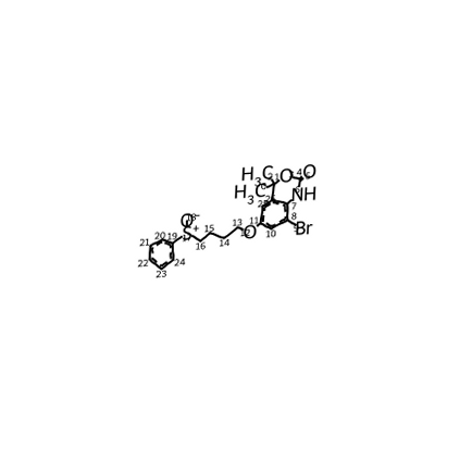 CC1(C)OC(=O)Nc2c(Br)cc(OCCCC[S+]([O-])c3ccccc3)cc21